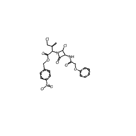 C=C(CCl)C(C(=O)OCc1ccc([N+](=O)[O-])cc1)N1C(=O)C(NC(=O)COc2ccccc2)C1Cl